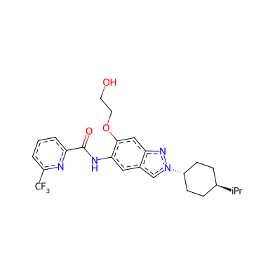 CC(C)[C@H]1CC[C@H](n2cc3cc(NC(=O)c4cccc(C(F)(F)F)n4)c(OCCO)cc3n2)CC1